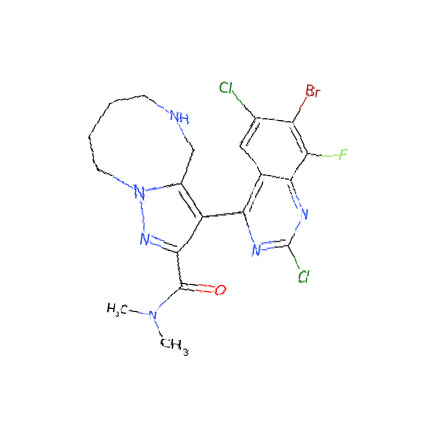 CN(C)C(=O)c1nn2c(c1-c1nc(Cl)nc3c(F)c(Br)c(Cl)cc13)CNCCCC2